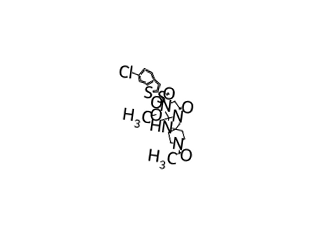 COCC12CN(S(=O)(=O)c3cc4ccc(Cl)cc4s3)CC(=O)N1CC1(CCN(C(C)=O)CC1)N2